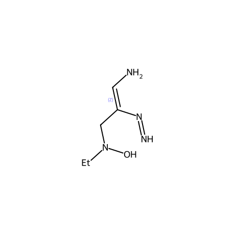 CCN(O)C/C(=C/N)N=N